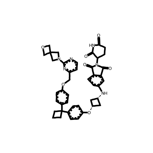 O=C1CCC(N2C(=O)c3ccc(N[C@H]4C[C@@H](Oc5ccc(C6(c7ccc(OCc8ccnc(N9CC%10(COC%10)C9)n8)cc7)CCC6)cc5)C4)cc3C2=O)C(=O)N1